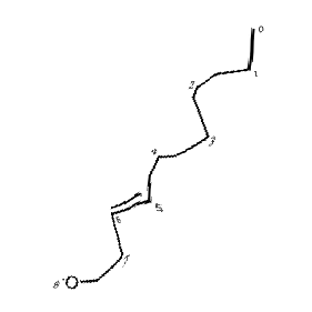 CCCCCC=CC[O]